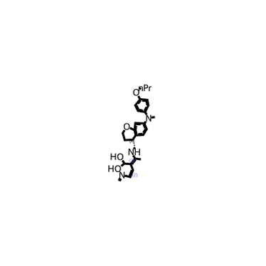 C=N/C=C\C(=C(/C)NC[C@@H]1CCOc2cc(N(C)c3ccc(OCCC)cc3)ccc21)C(O)O